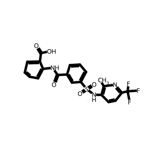 Cc1nc(C(F)(F)F)ccc1NS(=O)(=O)c1cccc(C(=O)Nc2ccccc2C(=O)O)c1